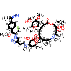 CC[C@H]1OC(=O)[C@H](C)C([C@H]2C[C@@](C)(OC)[C@@H](O)[C@H](C)O2)[C@H](C)[C@@H](O[C@@H]2O[C@H](C)C[C@H](N(C)CCc3cn([C@H](CF)[C@H](OC)c4ccc(C(C)=N)cc4)nn3)[C@H]2O)[C@](C)(O)C[C@@H](C)CN(C)[C@H](C)[C@@H](O)[C@]1(C)O